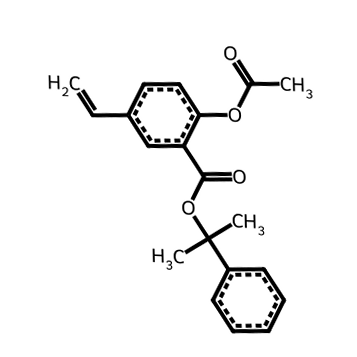 C=Cc1ccc(OC(C)=O)c(C(=O)OC(C)(C)c2ccccc2)c1